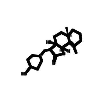 CC1=C2[C@@H]3OC(=O)C(CN4CCC(O)CC4)C3(O)CC[C@@]2(C)CCC1